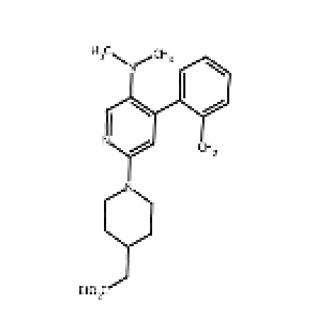 CCOC(=O)CC1CCN(c2cc(-c3ccccc3C)c(N(C)C)cn2)CC1